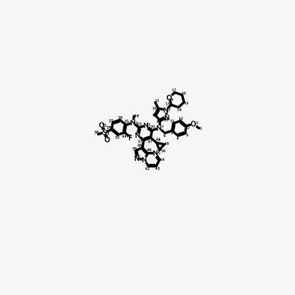 COc1ccc(CN(c2cc(C)n(C3CCCCO3)n2)c2nc(N(C)c3ccc(S(C)(=O)=O)cc3F)nc(-c3cnn4cccnc34)c2C2CC2)cc1